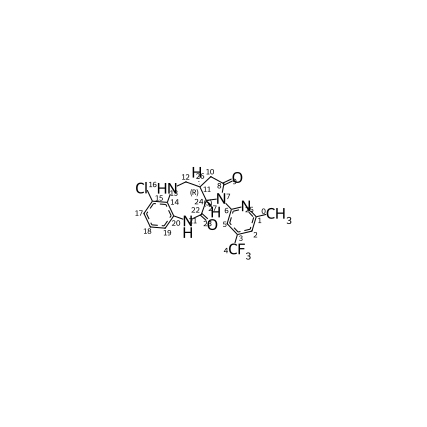 Cc1cc(C(F)(F)F)cc(N2C(=O)C[C@@H]3CNc4c(Cl)cccc4NC(=O)[C@H]32)n1